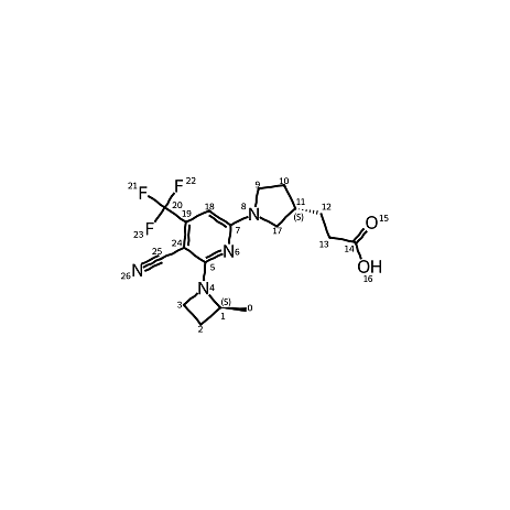 C[C@H]1CCN1c1nc(N2CC[C@H](CCC(=O)O)C2)cc(C(F)(F)F)c1C#N